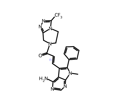 Cn1c(-c2ccccc2)c(/C=C/C(=O)N2CCn3c(nnc3C(F)(F)F)C2)c2c(N)ncnc21